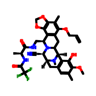 C=CCOc1c(C)c2c(c3c1CC1[C@H]4c5c(cc(C)c(OC)c5O)C[C@@H]([C@H](C#N)N1[C@H]3CNC(=O)[C@H](C)NC(=O)C(F)(F)F)N4C)OCO2